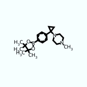 CN1CCN(C2(c3ccc(B4OC(C)(C)C(C)(C)O4)cc3)CC2)CC1